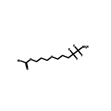 CCC(C)C(=O)OCCCOCCCC(F)(F)C(F)(F)S(=O)(=O)O